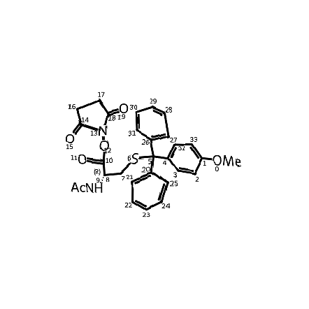 COc1ccc(C(SC[C@H](NC(C)=O)C(=O)ON2C(=O)CCC2=O)(c2ccccc2)c2ccccc2)cc1